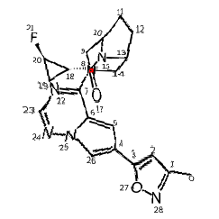 Cc1cc(-c2cc3c(N4CC5CCC(C4)N5C(=O)[C@@H]4C[C@H]4F)ncnn3c2)on1